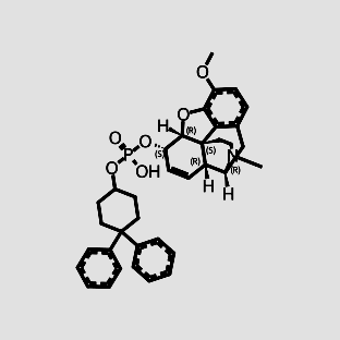 COc1ccc2c3c1O[C@H]1[C@@H](OP(=O)(O)OC4CCC(c5ccccc5)(c5ccccc5)CC4)C=C[C@H]4[C@@H](C2)N(C)CC[C@@]341